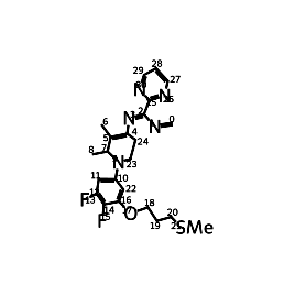 C=N/C(=N\C1=C(C)C(C)N(c2cc(F)c(F)c(OCCCSC)c2)CC1)c1ncccn1